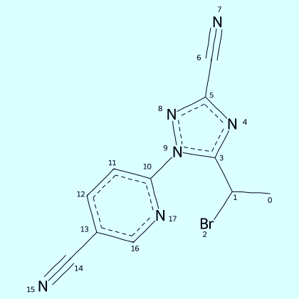 CC(Br)c1nc(C#N)nn1-c1ccc(C#N)cn1